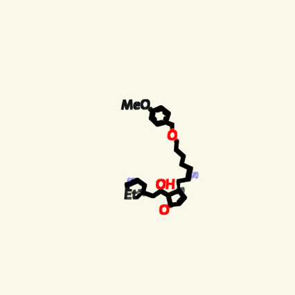 CC/C=C\C[C@H](C)CC(O)C1C(=O)C=C[C@@H]1C/C=C\CCCCOCc1ccc(OC)cc1